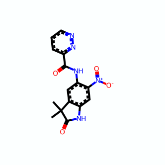 CC1(C)C(=O)Nc2cc([N+](=O)[O-])c(NC(=O)c3cccnn3)cc21